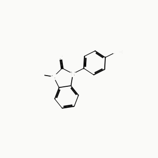 Cc1ccc(-n2c(=O)n(C)c3ccccc32)cc1